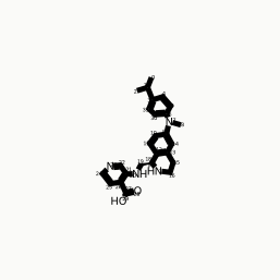 CC(C)c1ccc(N(C)c2ccc3c(c2)CCN[C@H]3CNc2cnccc2C(=O)O)cc1